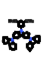 COc1cc(OC)cc(-n2c3ccc(-n4c5ccccc5c5ccccc54)cc3c3cc(-n4c5ccccc5c5ccccc54)ccc32)c1